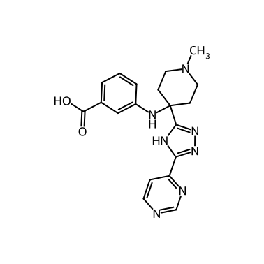 CN1CCC(Nc2cccc(C(=O)O)c2)(c2nnc(-c3ccncn3)[nH]2)CC1